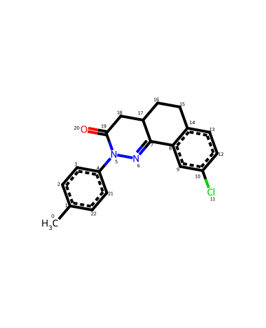 Cc1ccc(N2N=C3c4cc(Cl)ccc4CCC3CC2=O)cc1